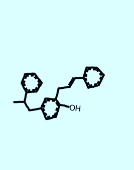 CC(Cc1ccc(O)c(CC=Cc2ccccc2)c1)c1ccccc1